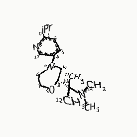 CC(C)c1ccc(N2CCO[C@@H](C(C)(C)N(C)C)C2)cn1